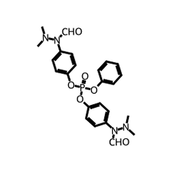 CN(C)N(C=O)c1ccc(OP(=O)(Oc2ccccc2)Oc2ccc(N(C=O)N(C)C)cc2)cc1